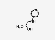 [CH2]C(O)CNc1ccccc1